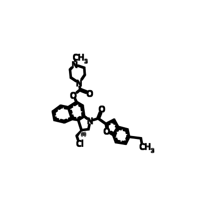 CCc1ccc2oc(C(=O)N3C[C@@H](CCl)c4c3cc(OC(=O)N3CCN(C)CC3)c3ccccc43)cc2c1